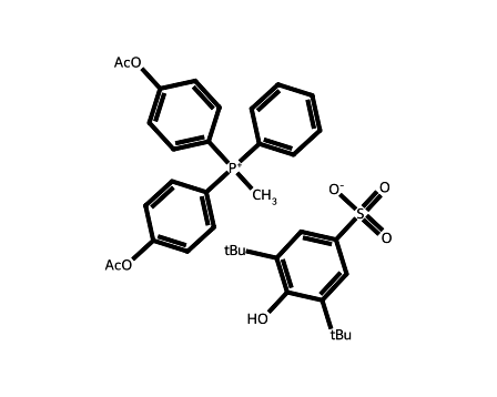 CC(=O)Oc1ccc([P+](C)(c2ccccc2)c2ccc(OC(C)=O)cc2)cc1.CC(C)(C)c1cc(S(=O)(=O)[O-])cc(C(C)(C)C)c1O